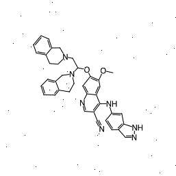 COc1cc2c(Nc3ccc4cn[nH]c4c3)c(C#N)cnc2cc1OC(CN1CCc2ccccc2C1)N1CCc2ccccc2C1